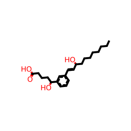 CCCCCCCCC(O)C=Cc1cccc(C(O)CCCC(=O)O)c1